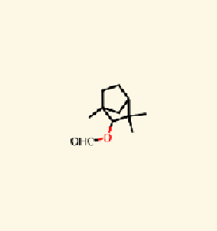 CC12CCC(C1)C(C)(C)C2OC=O